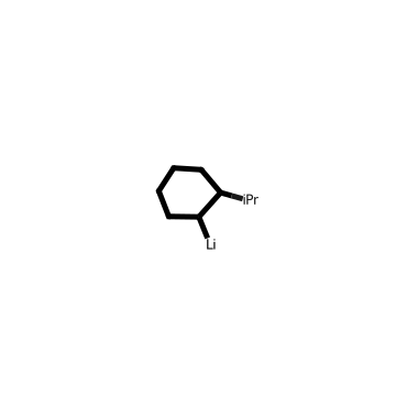 [Li][CH]1CCCCC1C(C)C